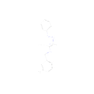 C/C(=C(C=O)\N=C\c1cc([N+](=O)[O-])ccc1O)N(C)Nc1ccccc1